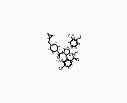 CN(C(=O)c1ccc(Cl)c(C(F)(F)F)c1)[C@@H]1CN(C(=O)C2CCN(CC3CC3)CC2)C[C@@H]1c1ccc(Cl)c(Cl)c1